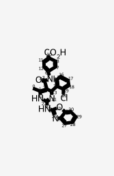 CC1=C(C(=O)Nc2ccc(C(=O)O)cc2)C(c2ccccc2Cl)N=C(Nc2nc3ccccc3o2)N1